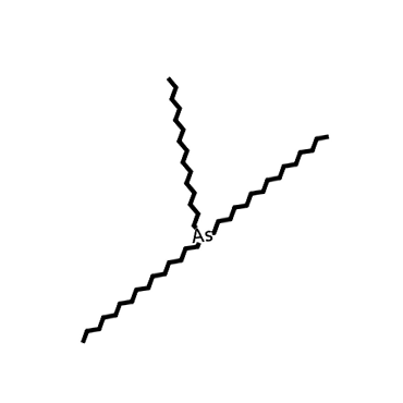 CCCCCCCCCCCCCCC[As](CCCCCCCCCCCCCCC)CCCCCCCCCCCCCCC